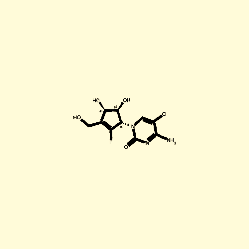 Nc1nc(=O)n([C@@H]2C(F)=C(CO)[C@@H](O)[C@H]2O)cc1Cl